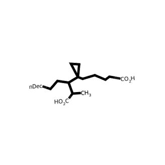 CCCCCCCCCCCCC(C(C)C(=O)O)C1(CCCCC(=O)O)CC1